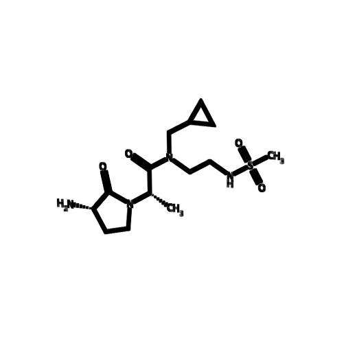 C[C@@H](C(=O)N(CCNS(C)(=O)=O)CC1CC1)N1CC[C@H](N)C1=O